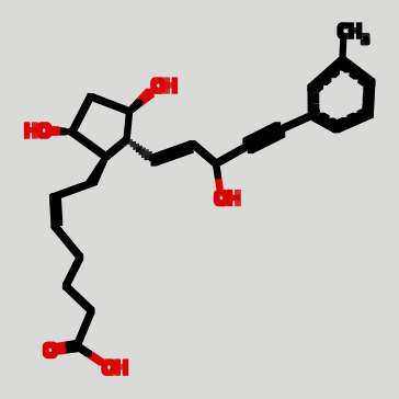 Cc1cccc(C#CC(O)/C=C/[C@@H]2[C@@H](C/C=C\CCCC(=O)O)[C@@H](O)C[C@H]2O)c1